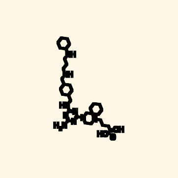 Nc1nc(NCC2CCC(CNCCCNC3CCCCC3)CC2)nc(N2CCN(CCCP(=O)(O)O)C3(CCCCC3)C2)n1